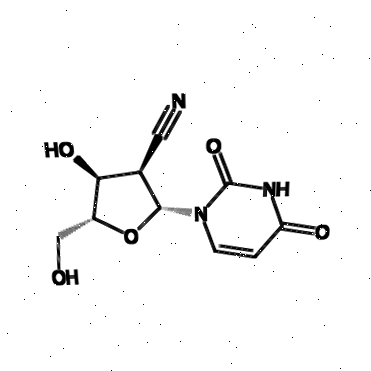 N#C[C@@H]1[C@H](O)[C@@H](CO)O[C@H]1n1ccc(=O)[nH]c1=O